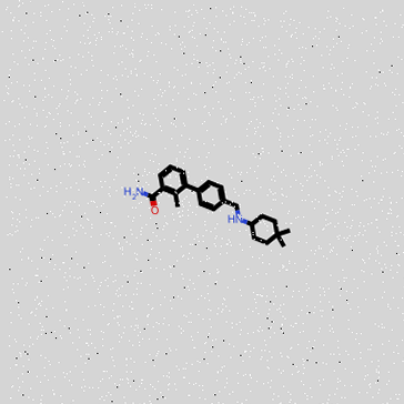 Cc1c(C(N)=O)cccc1-c1ccc(CNC2CCC(C)(C)CC2)cc1